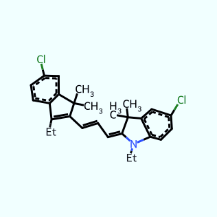 CCC1=C(C=CC=C2N(CC)c3ccc(Cl)cc3C2(C)C)C(C)(C)c2cc(Cl)ccc21